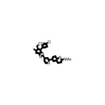 CNc1ccc2cc(-c3cc(-c4nc5cc(C)c(CC(=O)O)c(-c6ccc(Cl)cc6)c5s4)ccn3)ccc2n1